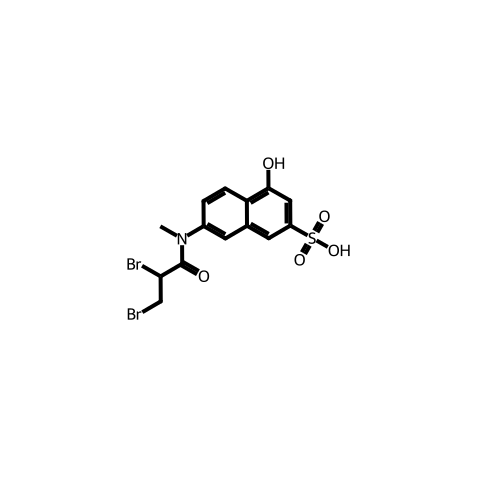 CN(C(=O)C(Br)CBr)c1ccc2c(O)cc(S(=O)(=O)O)cc2c1